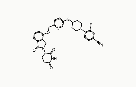 N#Cc1ccc(N2CCC(Sc3ccc(COc4cccc5c4CN([C@@H]4CCC(=O)NC4=O)C5=O)nc3)CC2)c(F)c1